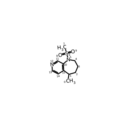 CC1CCCN(S(C)(=O)=O)c2cnccc21